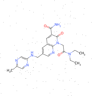 CCN(CC)C(=O)Cn1c(=O)c(C(N)=O)cc2cc(CNc3cnc(C)cn3)cnc21